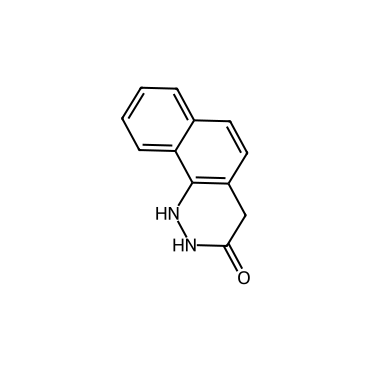 O=C1Cc2ccc3ccccc3c2NN1